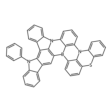 c1ccc(-n2c3ccccc3c3cc4c5c(c6ccccc6n5-c5cccc6c5B4c4cccc5c4N6c4ccccc4S5)c32)cc1